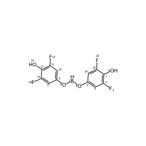 Oc1c(F)cc(OBOc2cc(F)c(O)c(F)c2)cc1F